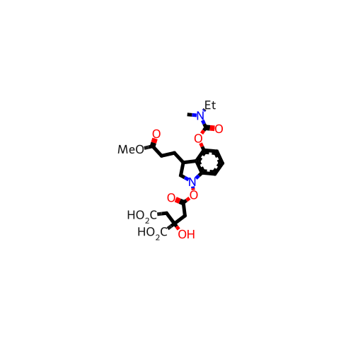 CCN(C)C(=O)Oc1cccc2c1C(CCC(=O)OC)CN2OC(=O)CC(O)(CC(=O)O)C(=O)O